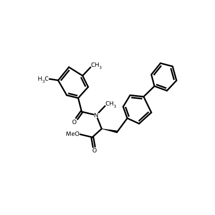 COC(=O)[C@H](Cc1ccc(-c2ccccc2)cc1)N(C)C(=O)c1cc(C)cc(C)c1